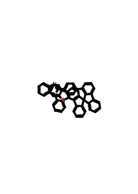 c1ccc(-n2c(-c3ccc(-c4cccc5c4C4(c6ccccc6-5)c5ccccc5-c5c4ccc4c5oc5ccccc54)cc3)nc3ccccc32)cc1